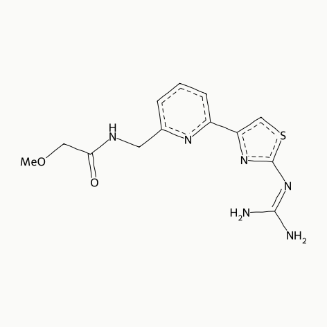 COCC(=O)NCc1cccc(-c2csc(N=C(N)N)n2)n1